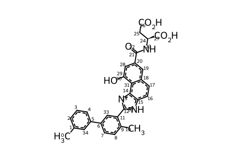 Cc1cccc(-c2ccc(C)c(-c3nc4c(ccc5cc(C(=O)N[C@@H](CC(=O)O)C(=O)O)cc(O)c54)[nH]3)c2)c1